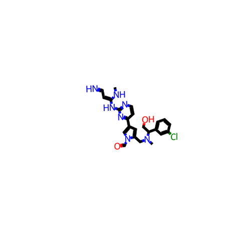 CN/C(=C\C=N)Nc1nccc(-c2cc(CN(C)C(CO)c3cccc(Cl)c3)n(C=O)c2)n1